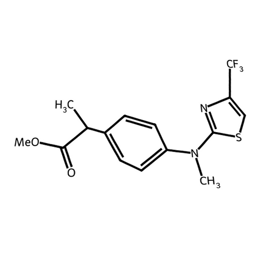 COC(=O)C(C)c1ccc(N(C)c2nc(C(F)(F)F)cs2)cc1